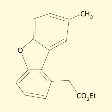 CCOC(=O)Cc1cccc2oc3ccc(C)cc3c12